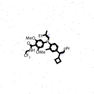 CCC/C=C(\c1ccc(N(/C=C(/C)CC)c2cc(OC)c(C(=O)NCC(F)(F)F)c(OC)c2)c(C)c1)C1CCC1